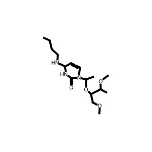 CCCCNC1C=CN(C(C)OC(COC)C(C)OC)C(=O)N1